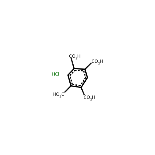 Cl.O=C(O)c1cc(C(=O)O)c(C(=O)O)cc1C(=O)O